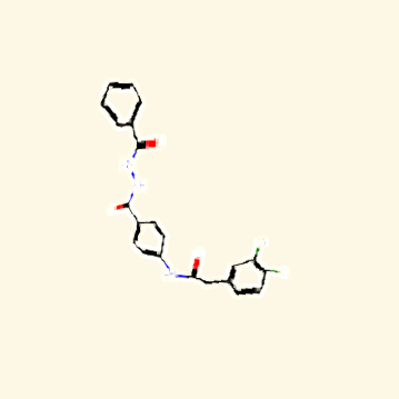 O=C(Cc1ccc(Cl)c(Cl)c1)Nc1ccc(C(=O)NNC(=O)c2ccccc2)cc1